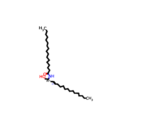 CCCCCCCCCCCCC/C=C/C[C@H](CO)NC(=O)CCCCCCCCCCCCCCCC